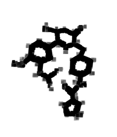 CCC1CC(=O)N(Cc2ccc(NC(=O)c3c[nH]cn3)cc2)N=C1c1ccc(OC)c(OC(F)F)c1